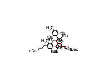 CCCCCCCCCCCCCc1[c]c(C(C)(C)C)c(-c2c(C(C)(C)C)cc(C)cc2C(C)(C)C)c(C(CCC)c2c(C)c(CCCCCCCCCCCCC)[c]c(C(C)(C)C)c2-c2c(C(C)(C)C)cc(C)cc2C(C)(C)C)c1C